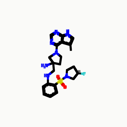 Cc1c[nH]c2ncnc(N3CCC(N)(CNc4ccccc4S(=O)(=O)N4CC[C@@H](F)C4)C3)c12